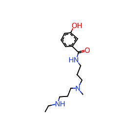 CCNCCCN(C)CCCNC(=O)c1cccc(O)c1